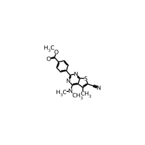 COC(=O)c1ccc(-c2nc(N(C)C)c3c(C)c(C#N)sc3n2)cc1